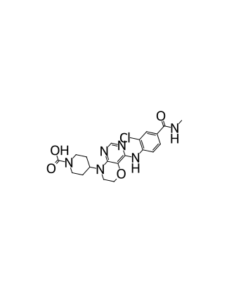 CNC(=O)c1ccc(Nc2ncnc3c2OCCN3C2CCN(C(=O)O)CC2)c(Cl)c1